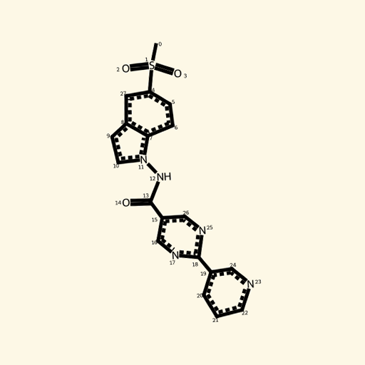 CS(=O)(=O)c1ccc2c(ccn2NC(=O)c2cnc(-c3cccnc3)nc2)c1